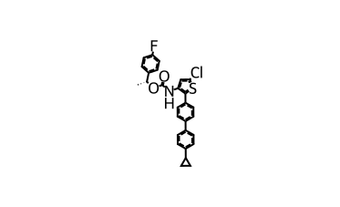 C[C@@H](OC(=O)Nc1cc(Cl)sc1-c1ccc(-c2ccc(C3CC3)cc2)cc1)c1ccc(F)cc1